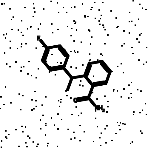 CC(c1ccc(F)cc1)c1ccccc1C(N)=O